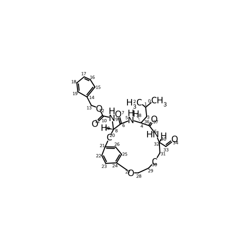 CC(C)C[C@@H]1NC(=O)[C@@H](NC(=O)OCc2ccccc2)Cc2ccc(cc2)OCCCC[C@@H](C=O)NC1=O